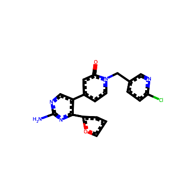 Nc1ncc(-c2ccn(Cc3ccc(Cl)nc3)c(=O)c2)c(-c2ccco2)n1